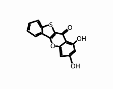 O=c1c2sc3ccccc3c2oc2cc(O)cc(O)c12